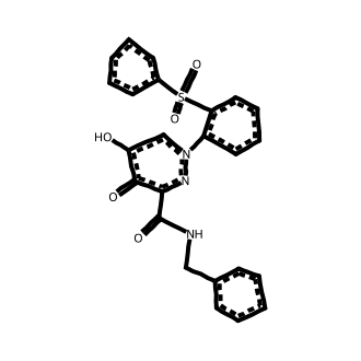 O=C(NCc1ccccc1)c1nn(-c2ccccc2S(=O)(=O)c2ccccc2)cc(O)c1=O